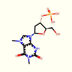 Cn1c(=O)[nH]c2c(c1=O)[n+](C)cn2[C@H]1C[C@H](OP(=O)(O)O)[C@@H](CO)O1